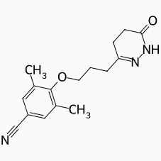 Cc1cc(C#N)cc(C)c1OCCCC1=NNC(=O)CC1